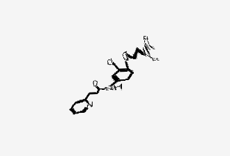 CCN(CC)CCOc1ccc(NC(=O)C=Cc2ccccn2)cc1Cl